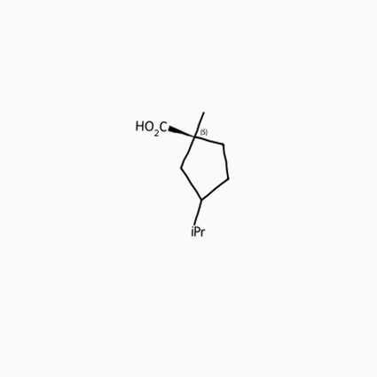 CC(C)C1CC[C@](C)(C(=O)O)C1